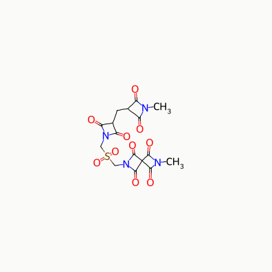 CN1C(=O)C(CC2C(=O)N(CS(=O)(=O)CN3C(=O)C4(C(=O)N(C)C4=O)C3=O)C2=O)C1=O